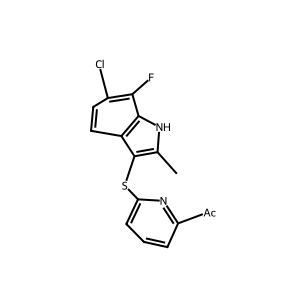 CC(=O)c1cccc(Sc2c(C)[nH]c3c(F)c(Cl)ccc23)n1